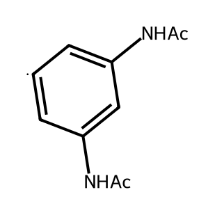 CC(=O)Nc1c[c]cc(NC(C)=O)c1